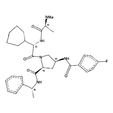 CN[C@@H](C)C(=O)N[C@H](C(=O)N1C[C@@H](NC(=O)c2ccc(F)cc2)C[C@H]1C(=O)N[C@H](C)c1ccccc1)C1CCCCC1